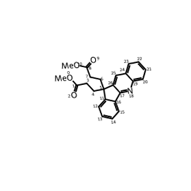 COC(=O)CCC1(CCC(=O)OC)c2ccccc2-c2nc3ccccc3cc21